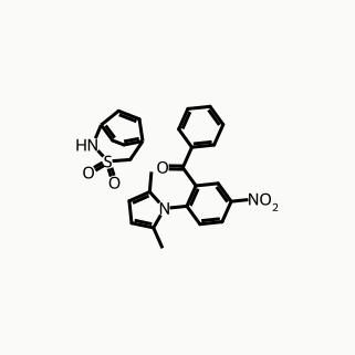 Cc1ccc(C)n1-c1ccc([N+](=O)[O-])cc1C(=O)c1ccccc1.O=S1(=O)Cc2ccc(cc2)N1